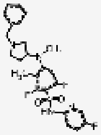 Cc1c(N(C)C2CCN(Cc3ccccc3)C2)cc(F)c(S(=O)(=O)Nc2ccc(F)cn2)c1F